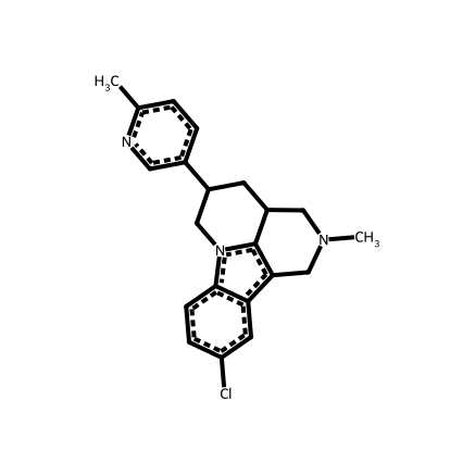 Cc1ccc(C2CC3CN(C)Cc4c3n(c3ccc(Cl)cc43)C2)cn1